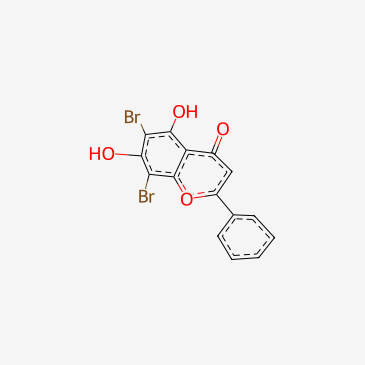 O=c1cc(-c2ccccc2)oc2c(Br)c(O)c(Br)c(O)c12